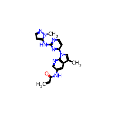 C=CC(=O)Nc1cnc2c(c1)c(C)cn2-c1ccnc(Nc2ccnn2C)n1